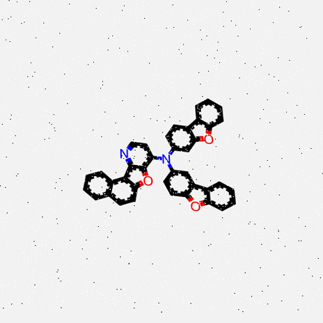 c1ccc2c(c1)ccc1oc3c(N(c4ccc5c(c4)oc4ccccc45)c4ccc5oc6ccccc6c5c4)ccnc3c12